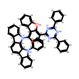 Cc1cc(-n2c3ccccc3c3ccc4c5ccccc5n(-c5ccccc5)c4c32)c2c(oc3ccccc32)c1-c1nc(-c2ccccc2)nc(-c2ccccc2)n1